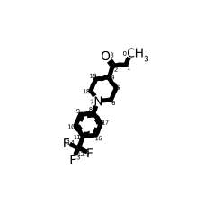 CCC(=O)C1CCN(c2ccc(C(F)(F)F)cc2)CC1